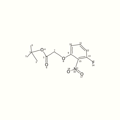 CC(C)(C)OC(=O)COc1cccc(F)c1[N+](=O)[O-]